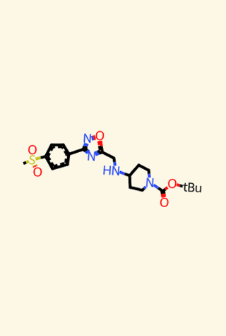 CC(C)(C)OC(=O)N1CCC(NCc2nc(-c3ccc(S(C)(=O)=O)cc3)no2)CC1